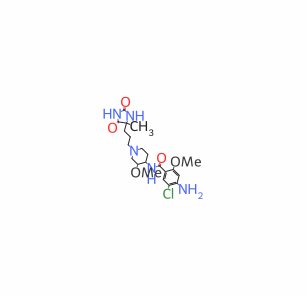 COc1cc(N)c(Cl)cc1C(=O)NC1CCN(CCCC2(C)NC(=O)NC2=O)CC1OC